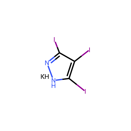 Ic1n[nH]c(I)c1I.[KH]